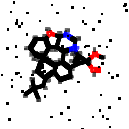 COC1(O)C2(C)c3ccc4c(CC(C)(C)C)cccc4c3C3=[N+](C=NC4Oc5ccc6ccccc6c5C34)C12C